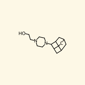 OCCN1CCN(C2C3CC4CC5CC2C53C4)CC1